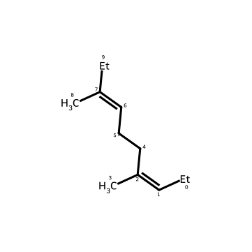 CCC=C(C)C[CH]C=C(C)CC